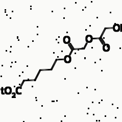 CCOC(=O)CCCCCOC(=O)COC(=O)CO